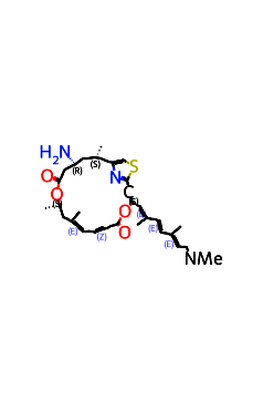 CNC/C=C(C)/C=C/C(C)=C/[C@@H]1Cc2nc(cs2)[C@@H](C)C[C@@H](N)CC(=O)O[C@@H](C)C/C(C)=C/C=C\C(=O)O1